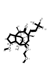 COCOC1C[C@@](C)(C=CC(F)(F)F)C(=O)[C@H](C)C23CC[C@@H](C)[C@]1(C)C2[C@H](OC)CC3